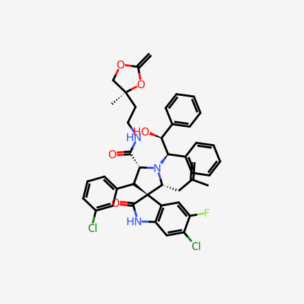 C=C(C)C[C@H]1N([C@H](c2ccccc2)[C@@H](O)c2ccccc2)[C@@H](C(=O)NCC[C@@]2(C)COC(=C)O2)C(c2cccc(Cl)c2)[C@@]12C(=O)Nc1cc(Cl)c(F)cc12